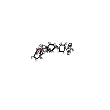 CS(=O)(=O)N1CCN(c2ccc(OC3CC4CCC(C3)N4C(=O)O)nc2)CC1